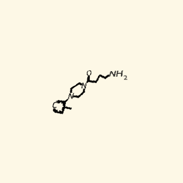 Cc1ccccc1N1CCN(C(=O)CCCN)CC1